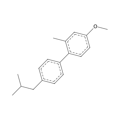 COc1ccc(-c2ccc(CC(C)C)cc2)c(C)c1